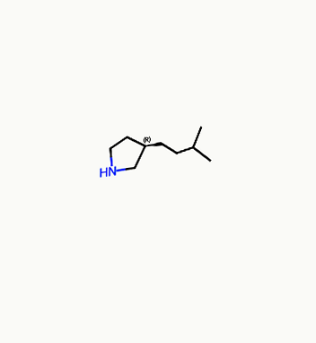 CC(C)CC[C@@H]1CCNC1